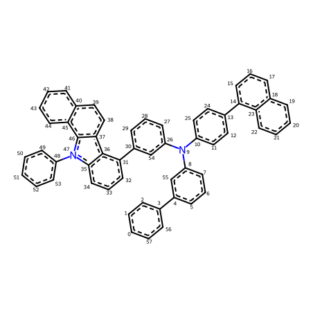 c1ccc(-c2cccc(N(c3ccc(-c4cccc5ccccc45)cc3)c3cccc(-c4cccc5c4c4ccc6ccccc6c4n5-c4ccccc4)c3)c2)cc1